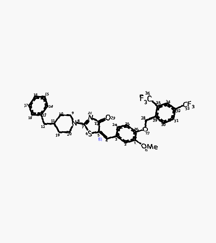 COc1cc(/C=C2/SC(N3CCC(Cc4ccccc4)CC3)=NC2=O)ccc1OCc1ccc(C(F)(F)F)cc1C(F)(F)F